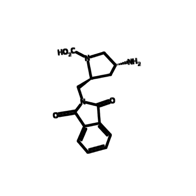 N[C@@H]1C[C@@H](CN2C(=O)c3ccccc3C2=O)N(C(=O)O)C1